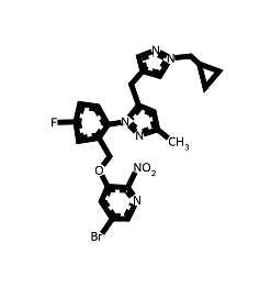 Cc1cc(Cc2cnn(CC3CC3)c2)n(-c2ccc(F)cc2COc2cc(Br)cnc2[N+](=O)[O-])n1